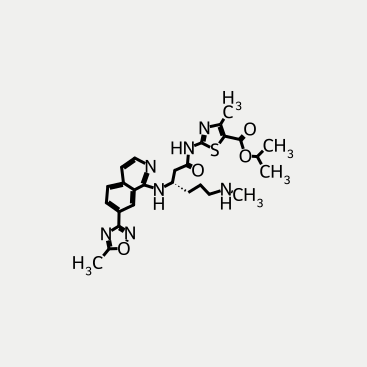 CNCCC[C@@H](CC(=O)Nc1nc(C)c(C(=O)OC(C)C)s1)Nc1nccc2ccc(-c3noc(C)n3)cc12